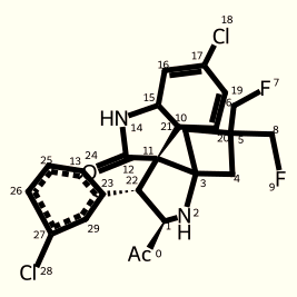 CC(=O)[C@@H]1NC2(CC(CF)(CF)C2)[C@@]2(C(=O)NC3C=C(Cl)C=CC32)[C@H]1c1cccc(Cl)c1